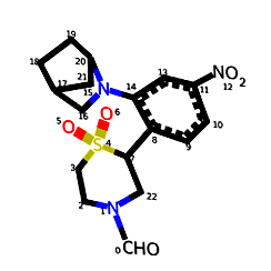 O=CN1CCS(=O)(=O)C(c2ccc([N+](=O)[O-])cc2N2CC3CCC2C3)C1